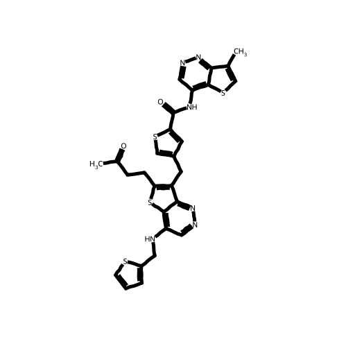 CC(=O)CCc1sc2c(NCc3cccs3)cnnc2c1Cc1csc(C(=O)Nc2cnnc3c(C)csc23)c1